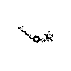 Cc1nn(C)c(C)c1NS(=O)(=O)c1ccc(COCCCN(C)C)cc1